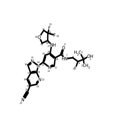 CC(C)(O)C(F)CNC(=O)c1cnc(-n2ncc3cc(C#N)cnc32)cc1NC1COCC1(F)F